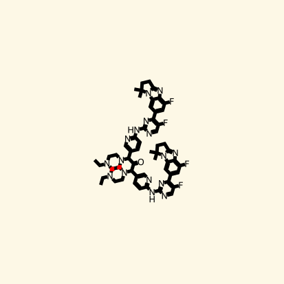 CCN1CCN(C(C(=O)C(c2ccc(Nc3ncc(F)c(-c4cc(F)c5nc6n(c5c4)C(C)(C)CC6)n3)nc2)N2CCN(CC)CC2)c2ccc(Nc3ncc(F)c(-c4cc(F)c5nc6n(c5c4)C(C)(C)CC6)n3)nc2)CC1